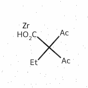 CCC(C(C)=O)(C(C)=O)C(=O)O.[Zr]